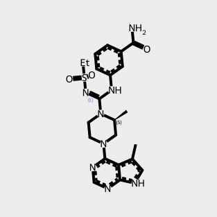 CCS(=O)(=O)/N=C(\Nc1cccc(C(N)=O)c1)N1CCN(c2ncnc3[nH]cc(C)c23)C[C@@H]1C